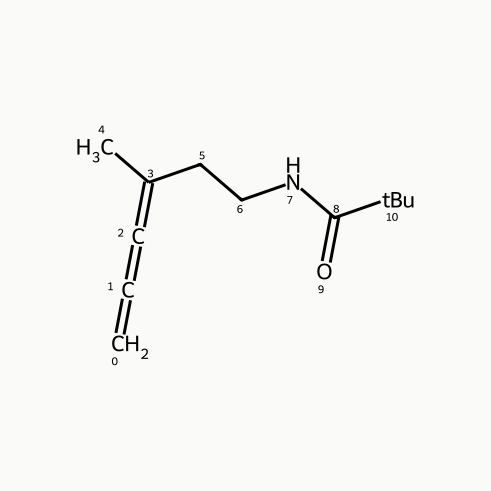 C=C=C=C(C)CCNC(=O)C(C)(C)C